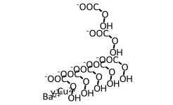 O=C([O-])OO.O=C([O-])OO.O=C([O-])OO.O=C([O-])OO.O=C([O-])OO.O=C([O-])OO.O=C([O-])OO.[Ba+2].[Cu+2].[Y+3]